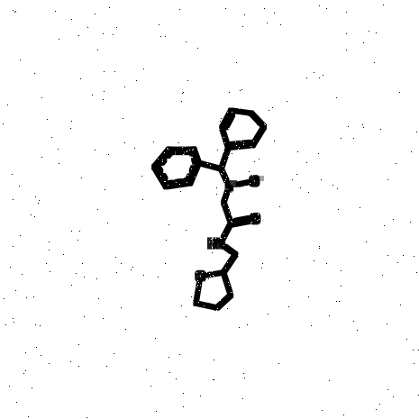 O=C(C[S+]([O-])C(C1=CCCC=C1)c1ccccc1)NCC1CCCO1